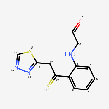 O=[C]CNc1ccccc1C(=S)Cc1nncs1